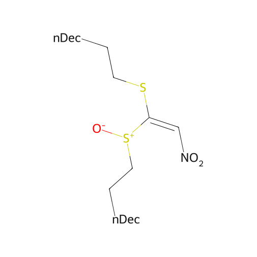 CCCCCCCCCCCCSC(=C[N+](=O)[O-])[S+]([O-])CCCCCCCCCCCC